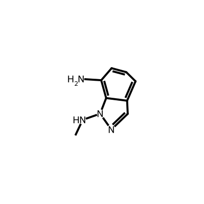 CNn1ncc2cccc(N)c21